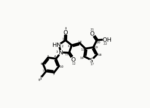 O=C1NN(c2ccc(I)cc2)C(=O)C1=Cc1cscc1C(=O)O